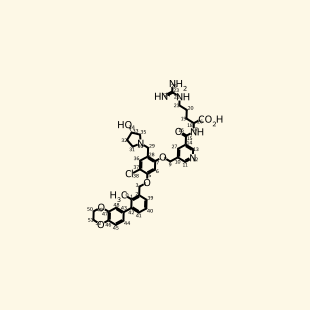 Cc1c(COc2cc(OCc3cncc(C(=O)NC(CCCNC(=N)N)C(=O)O)c3)c(CN3CC[C@H](O)C3)cc2Cl)cccc1-c1ccc2c(c1)OCCO2